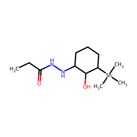 CCC(=O)NNC1CCC[CH]([Sn]([CH3])([CH3])[CH3])C1O